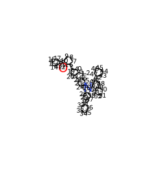 CC1(C)c2cc(-c3cccc4c3oc3ccccc34)ccc2-c2ccc(N(c3ccc(-c4ccccc4)cc3)c3cc(-c4ccccc4)cc4ccccc34)cc21